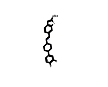 CCCCc1cc2ccc(/C=C/C3CCC(c4ccc(F)c(F)c4)CC3)cc2s1